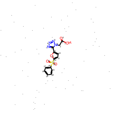 O=C(O)Cn1nnnc1-c1ccc(S(=O)(=O)c2ccccc2)o1